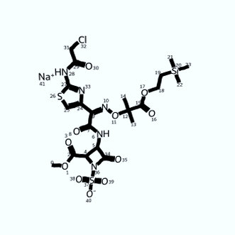 COC(=O)C1C(NC(=O)C(=NOC(C)(C)C(=O)OCC[Si](C)(C)C)c2csc(NC(=O)CCl)n2)C(=O)N1S(=O)(=O)[O-].[Na+]